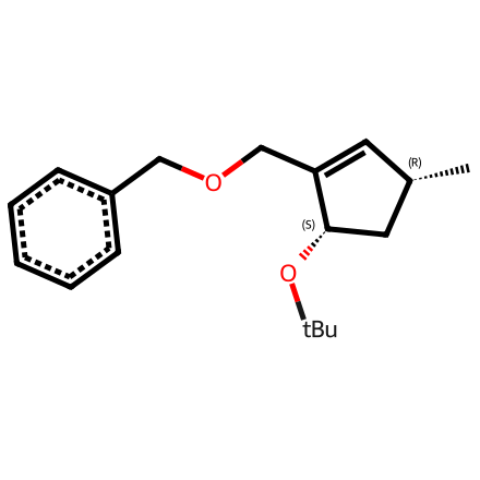 C[C@H]1C=C(COCc2ccccc2)[C@@H](OC(C)(C)C)C1